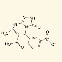 CC1=C(C(=O)O)C(c2cccc([N+](=O)[O-])c2)n2c(n[nH]c2=O)N1